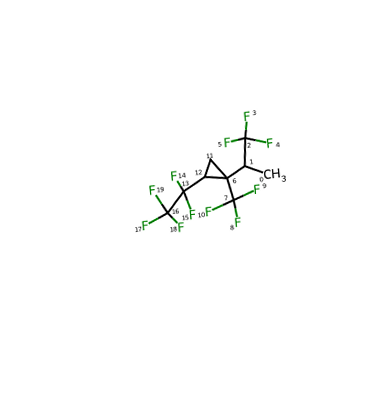 CC(C(F)(F)F)C1(C(F)(F)F)CC1C(F)(F)C(F)(F)F